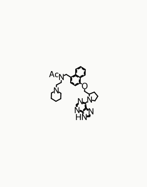 CC(=O)N(CCN1CCCCC1)Cc1ccc(OCC2CCCN2c2ncnc3[nH]cnc23)c2ccccc12